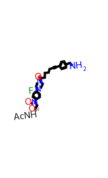 CC(=O)NC[C@H]1CN(c2ccc(N3CCN(C(=O)CCCCC#Cc4ccc(CN)cc4)CC3)c(F)c2)C(=O)O1